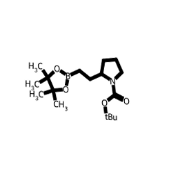 CC(C)(C)OC(=O)N1CCCC1CCB1OC(C)(C)C(C)(C)O1